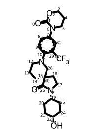 O=C1OCCCN1c1ccc(N2CCC[C@@]3(CCN([C@H]4CC[C@H](O)CC4)C3=O)C2)c(C(F)(F)F)c1